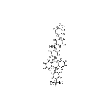 CCC(C)(CC)c1ccc(-c2c3ccccc3c(-c3ccc(Nc4cccc(C5=CC=C6CCC6C5)c4)cc3)c3ccccc23)cc1